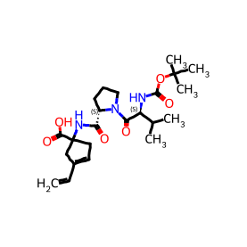 C=CC1=CCC(NC(=O)[C@@H]2CCCN2C(=O)[C@@H](NC(=O)OC(C)(C)C)C(C)C)(C(=O)O)C1